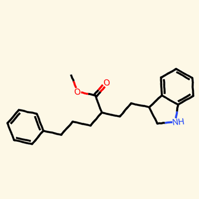 COC(=O)C(CCCc1ccccc1)CCC1CNc2ccccc21